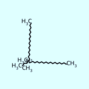 CCCCCCCCCCCCCCCCCC[N+](C)(CCCCCCCCCCCCCCCCCC)CCC(C)C